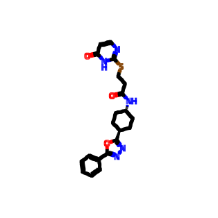 O=C(CCSc1nccc(=O)[nH]1)N[C@H]1CC[C@H](c2nnc(-c3ccccc3)o2)CC1